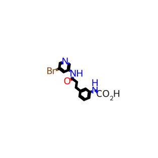 O=C(O)Nc1cccc(CCC(=O)Nc2cncc(Br)c2)c1